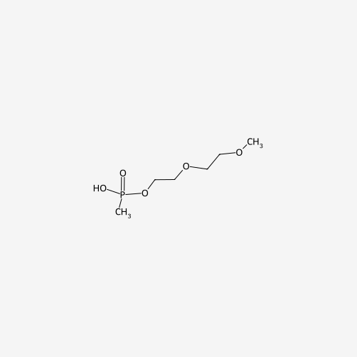 COCCOCCOP(C)(=O)O